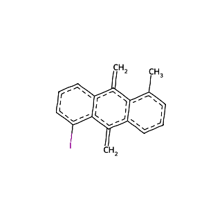 C=c1c2cccc(I)c2c(=C)c2cccc(C)c12